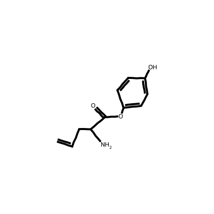 C=CCC(N)C(=O)Oc1ccc(O)cc1